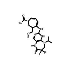 COCC1C[C@@H](C(=O)O)C=CC=C1NC1N=CC2=C(N1)N(C(C)C)CC(F)(F)C(=O)N2C